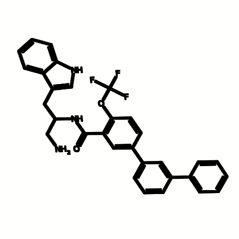 NCC(Cc1c[nH]c2ccccc12)NC(=O)c1cc(-c2cccc(-c3ccccc3)c2)ccc1OC(F)(F)F